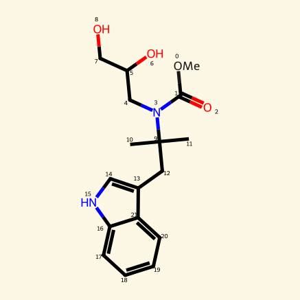 COC(=O)N(CC(O)CO)C(C)(C)Cc1c[nH]c2ccccc12